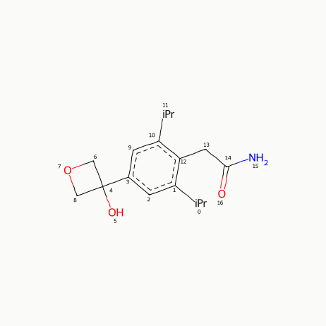 CC(C)c1cc(C2(O)COC2)cc(C(C)C)c1CC(N)=O